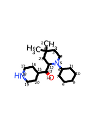 CC1(C)CCN(C2CCCCC2)C(C(=O)C2CCNCC2)C1